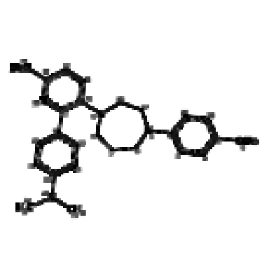 COc1ccc(N2CCCN(c3ccc(OC)nc3-c3ccc(N(C)C)cc3)CC2)cc1